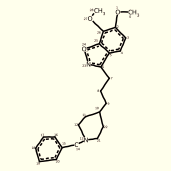 COc1ccc2c(CCCC3CCN(Cc4ccccc4)CC3)noc2c1OC